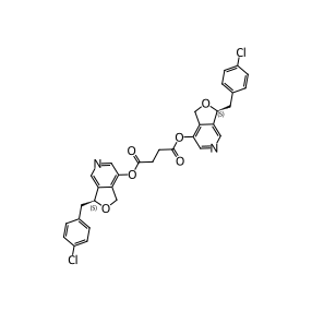 O=C(CCC(=O)Oc1cncc2c1CO[C@H]2Cc1ccc(Cl)cc1)Oc1cncc2c1CO[C@H]2Cc1ccc(Cl)cc1